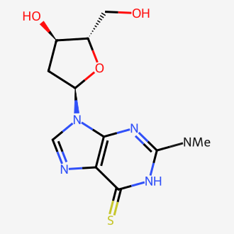 CNc1nc2c(ncn2[C@H]2C[C@@H](O)[C@H](CO)O2)c(=S)[nH]1